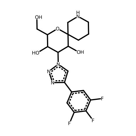 OCC1OC2(CCCNC2)C(O)C(n2cc(-c3cc(F)c(F)c(F)c3)nn2)C1O